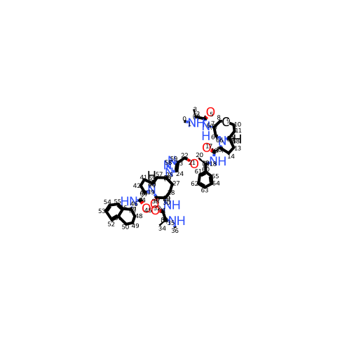 CN[C@@H](C)C(=O)N[C@H]1CCCC[C@H]2CC[C@@H](C(=O)N[C@H](COCc3cn([C@@H]4CC[C@H](NC(=O)[C@H](C)NC)C(=O)N5[C@H](CC[C@H]5C(=O)N[C@@H]5CCCc6ccccc65)C4)nn3)c3ccccc3)N2C1